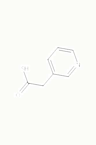 O=C(S)Cc1cccnc1